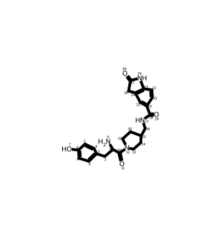 NC(Cc1ccc(O)cc1)C(=O)N1CCC(CNC(=O)c2ccc3c(c2)CC(=O)N3)CC1